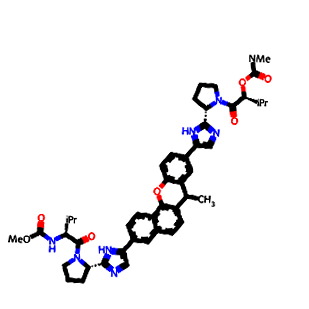 CNC(=O)O[C@H](C(=O)N1CCC[C@H]1c1ncc(-c2ccc3c(c2)C(C)c2ccc4cc(-c5cnc([C@@H]6CCCN6C(=O)[C@@H](NC(=O)OC)C(C)C)[nH]5)ccc4c2O3)[nH]1)C(C)C